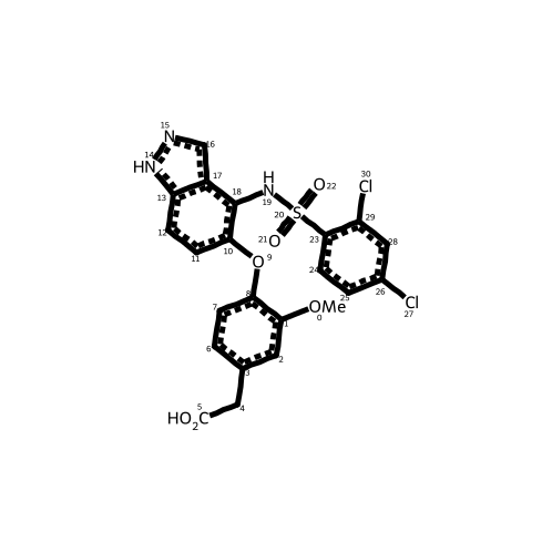 COc1cc(CC(=O)O)ccc1Oc1ccc2[nH]ncc2c1NS(=O)(=O)c1ccc(Cl)cc1Cl